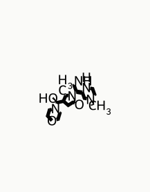 CC1C([C@H](O)N2CCOCC2)CC(=O)N1/C(C=N)=C1\CN(C)CCN1